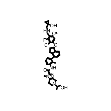 COc1cc(OC2CCc3c(-c4cccc(NC(=O)c5nc6c(n5C)CCN(C(C)CO)C6)c4C)cccc32)c(Cl)c(F)c1CNCC1(O)CC1